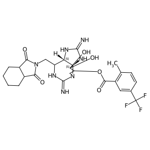 Cc1ccc(C(F)(F)F)cc1C(=O)OC1CN2C(=N)NC(CN3C(=O)C4CCCCC4C3=O)[C@@H]3NC(=N)N[C@@]32C1(O)O